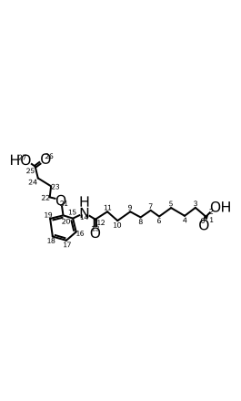 O=C(O)CCCCCCCCCC(=O)Nc1ccccc1OCCCC(=O)O